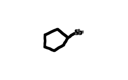 [Sb][CH]1CCCCC1